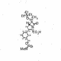 CC[Si](CC)(CC)O[C@H](C)[C@H]1C(=O)N2C(C(=O)O)=C(c3cccc(COC(=O)NC)c3)C[C@H]12